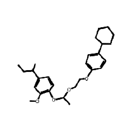 CCC(C)c1ccc(OC(C)OCCOc2ccc(C3CCCCC3)cc2)c(OC)c1